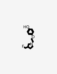 Oc1ccc(OCCN2CCC(CF)C2)cc1